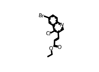 CCOC(=O)C=Cc1cnc2ccc(Br)cc2c1Cl